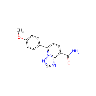 COc1ccc(-c2ccc(C(N)=O)c3n[c]nn23)cc1